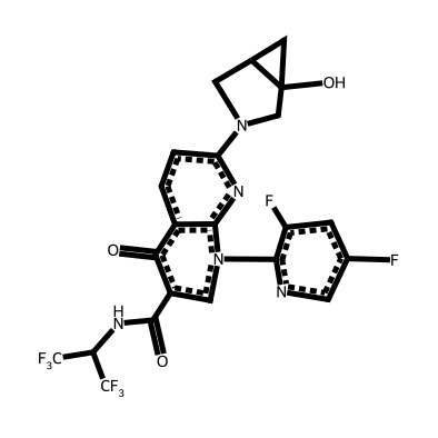 O=C(NC(C(F)(F)F)C(F)(F)F)c1cn(-c2ncc(F)cc2F)c2nc(N3CC4CC4(O)C3)ccc2c1=O